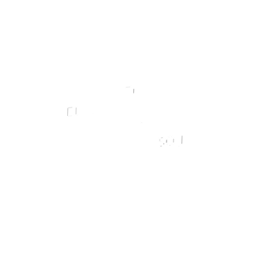 CCc1ccc(C(CS(=O)(=O)O)c2ccccc2CC)cc1